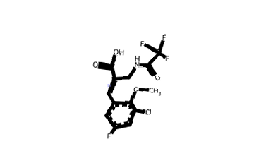 COc1c(Cl)cc(F)cc1/C=C(\CNC(=O)C(F)(F)F)C(=O)O